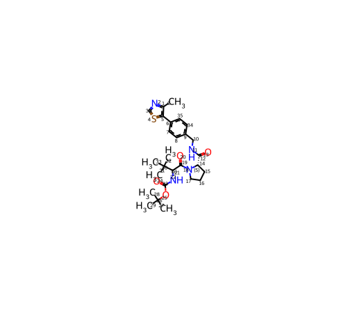 Cc1ncsc1-c1ccc(CNC(=O)[C@@H]2CCCN2C(=O)[C@@H](NC(=O)OC(C)(C)C)C(C)(C)C)cc1